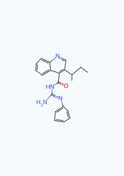 CCC(C)c1cnc2ccccc2c1C(=O)NC(N)=Nc1ccccc1